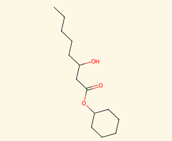 CCCCCC(O)CC(=O)OC1CCCCC1